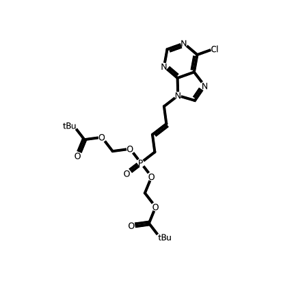 CC(C)(C)C(=O)OCOP(=O)(C/C=C/Cn1cnc2c(Cl)ncnc21)OCOC(=O)C(C)(C)C